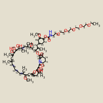 CCOCCOCCOCCOCCOCCNC(=O)O[C@@H]1CC[C@@H](C[C@@H](C)[C@@H]2CC(=O)[C@H](C)/C=C(\C)[C@@H](O)[C@@H](O)C(=O)[C@H](C)C[C@H](C)/C=C/C=C/C=C(\C)[C@@H](OC)C[C@@H]3CC[C@@H](C)[C@@](O)(O3)C(=O)C(=O)N3CCCC[C@H]3C(=O)O2)C[C@H]1OC